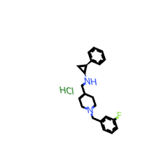 Cl.Fc1cccc(CN2CCC(CN[C@@H]3C[C@H]3c3ccccc3)CC2)c1